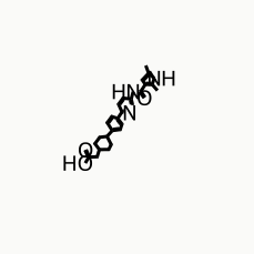 Cc1cc(C(=O)Nc2ccc(-c3ccc(C4CCC(CC(=O)O)CC4)cc3)nc2)c(C)[nH]1